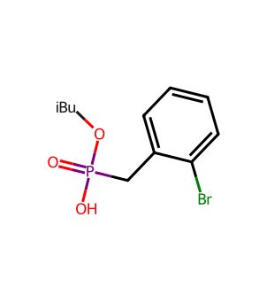 CCC(C)OP(=O)(O)Cc1ccccc1Br